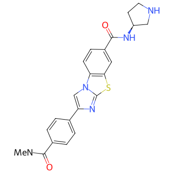 CNC(=O)c1ccc(-c2cn3c(n2)sc2cc(C(=O)N[C@H]4CCNC4)ccc23)cc1